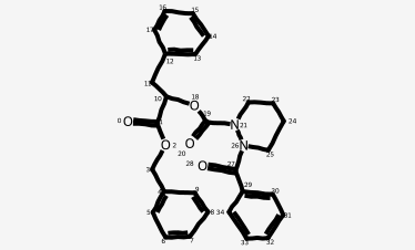 O=C(OCc1ccccc1)C(Cc1ccccc1)OC(=O)N1CCCCN1C(=O)c1ccccc1